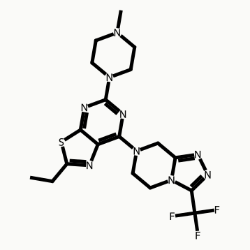 CCc1nc2c(N3CCn4c(nnc4C(F)(F)F)C3)nc(N3CCN(C)CC3)nc2s1